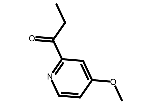 CCC(=O)c1cc(OC)ccn1